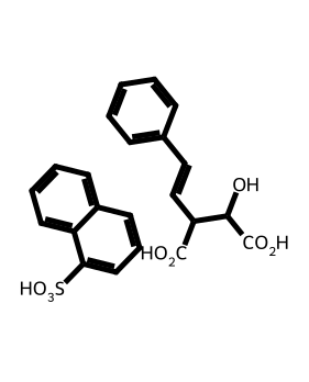 O=C(O)C(O)C(C=Cc1ccccc1)C(=O)O.O=S(=O)(O)c1cccc2ccccc12